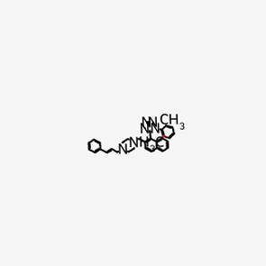 Cc1cccc(C)c1-n1nnnc1-c1c(CN2CCN(CC=Cc3ccccc3)CC2)ccc2ccccc12